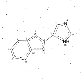 c1ccc2sc(-c3cnc[nH]3)nc2c1